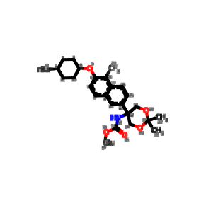 CCCC[C@H]1CC[C@@H](Oc2ccc3cc(C4(NC(=O)OC(C)(C)C)COC(C)(C)OC4)ccc3c2C(F)(F)F)CC1